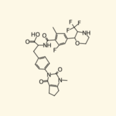 Cc1cc(C2OCCNC2C(F)(F)F)cc(F)c1C(=O)NC(Cc1ccc(-n2c(=O)c3c(n(C)c2=O)CCC3)cc1)C(=O)O